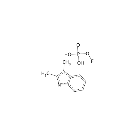 Cc1nc2ccccc2n1C.O=P(O)(O)OF